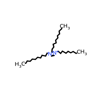 CCCCCCCCCCCc1n(CCCCCCCCCCC)cc[n+]1CCCCCCCCC